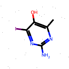 Cc1nc(N)nc(I)c1O